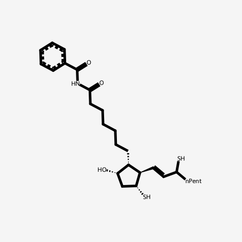 CCCCCC(S)C=C[C@@H]1[C@@H](CCCCCCC(=O)NC(=O)c2ccccc2)[C@@H](O)C[C@H]1S